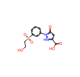 O=C(O)c1cc(=O)n(-c2cccc(S(=O)(=O)CCO)c2)[nH]1